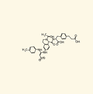 CC(=O)N1CCc2cc(NC(=C[N+](=O)[O-])Nc3ccc(C)cc3)ccc2C1C(=O)NC(Cc1ccc(CCC(=O)O)cc1)C(=O)O